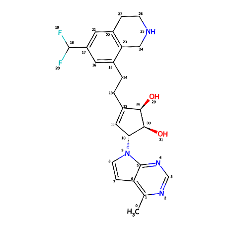 Cc1ncnc2c1ccn2[C@@H]1C=C(CCc2cc(C(F)F)cc3c2CNCC3)[C@@H](O)[C@H]1O